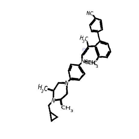 C/C(=C/N(C)c1ccc(N2CC(C)N(CC3CC3)C(C)C2)cc1)c1c(C=O)cccc1-c1ccc(C#N)cc1